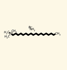 CCCCCCCCCCCCCCCCCC[N+](C)(C)C.N.[Br-]